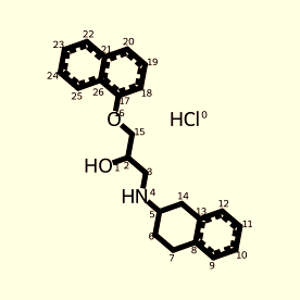 Cl.OC(CNC1CCc2ccccc2C1)COc1cccc2ccccc12